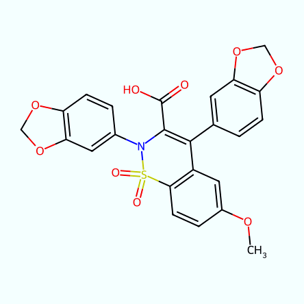 COc1ccc2c(c1)C(c1ccc3c(c1)OCO3)=C(C(=O)O)N(c1ccc3c(c1)OCO3)S2(=O)=O